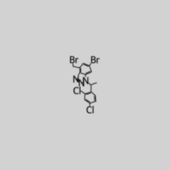 CC(c1ccc(Cl)cc1Cl)n1nnc2c(CBr)cc(Br)cc21